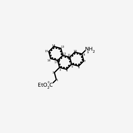 CCOC(=O)CCc1cc2ccc(N)cc2c2ccccc12